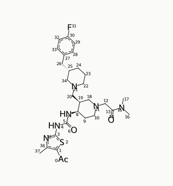 CC(=O)c1sc(NC(=O)N[C@@H]2CCN(CC(=O)N(C)C)C[C@@H]2CN2CCC[C@@H](Cc3ccc(F)cc3)C2)nc1C